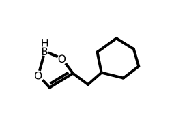 B1OC=C(CC2CCCCC2)O1